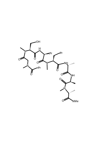 CCCC(=O)N(C)CC(=O)N(C)[C@@H](CO)C(=O)N[C@H](C(=O)N(C)[C@@H](CC(C)C)C(=O)N[C@H](C)C(=O)N[C@@H](C)C(=O)N(C)[C@H](C)C(=O)NC)C(C)C